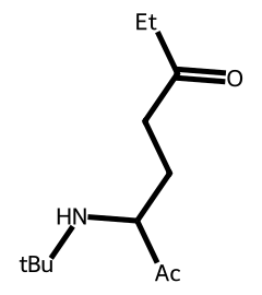 CCC(=O)CCC(NC(C)(C)C)C(C)=O